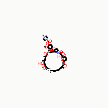 CO[C@H]1C[C@@H]2CC[C@@H](C)[C@@](O)(O2)C(=O)C(=O)N2CCCC3[C@H]2C(=O)O[C@@H](CC(=O)[C@H](C)/C=C(\C)[C@@H](O)[C@@H](OC)C(=O)[C@H](C)C[C@H](C)/C=C/C=C/C=C/1C)[C@H]3C[C@@H]1CC[C@@H](OC(=O)N2CCN(C)CC2)[C@H](OC)C1